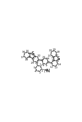 N#Cc1ccccc1-c1cc(-c2cccc3sc4ccccc4c23)ccc1-c1ccc2c(c1)sc1ccccc12